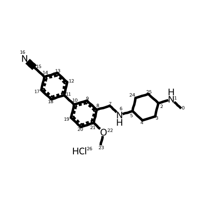 CNC1CCC(NCc2cc(-c3ccc(C#N)cc3)ccc2OC)CC1.Cl